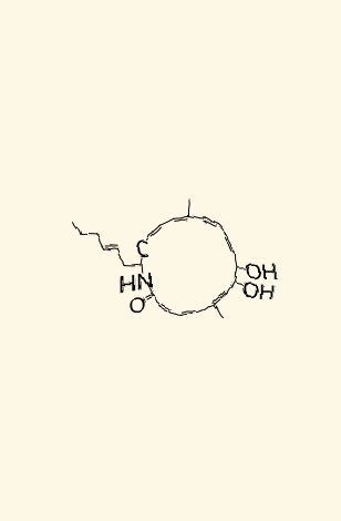 CCC/C=C/CC1C\C=C/C=C(C)\C=C/C=C\C(O)C(O)\C=C(C)/C=C\C=C/C(=O)N1